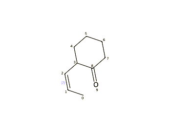 C/C=C\C1CCCCC1=O